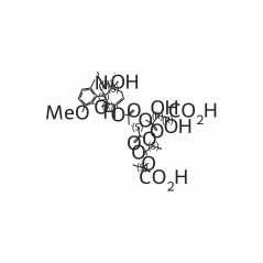 COc1ccc(C)c2c1O[C@H]1C(OC(=O)C[C@H](OC(=O)[C@H](O)[C@@H](O)C(=O)O)C(=O)O[C@@H](C)C(=O)O[C@@H](C)C(=O)O)=CC[C@@]3(O)[C@@H](C)N(C)CC[C@]213